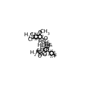 COc1cc(C(=O)NCC(O)(c2cc3c(c(-c4ccc(F)cc4)n2)OC[C@]3(C(N)=O)C(F)F)C(F)(F)F)cc2cc(Cl)c(C)nc12